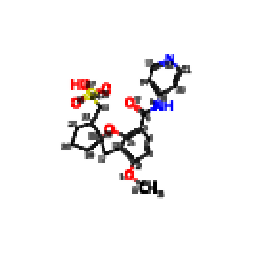 COc1ccc(C(=O)Nc2ccncc2)c2c1CC1(CCCC1CS(=O)(=O)O)O2